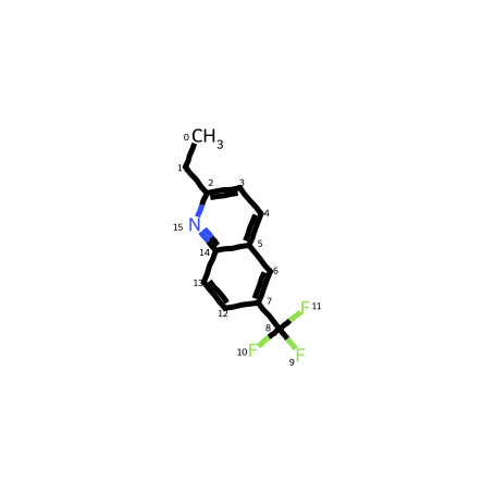 C[CH]c1ccc2cc(C(F)(F)F)ccc2n1